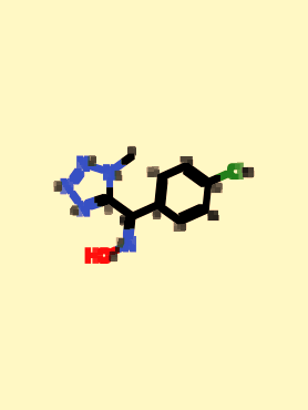 Cn1nnnc1C(=NO)c1ccc(Cl)cc1